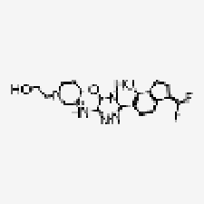 Cn1c(-c2ccc3c(c2O)CCC3=C(F)F)nnc(N[C@@H]2CCCN(CCO)C2)c1=O